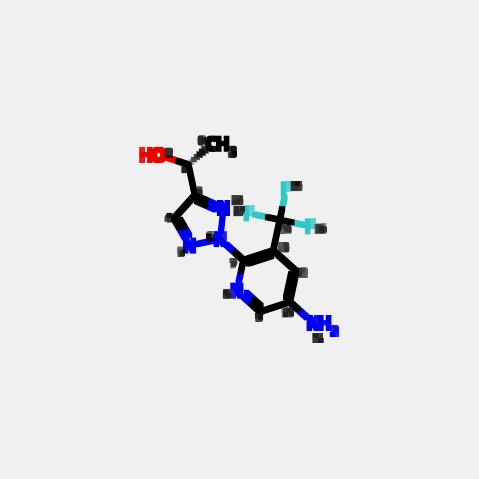 C[C@@H](O)c1cnn(-c2ncc(N)cc2C(F)(F)F)n1